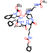 COC(=O)C1(NCCCNC(=O)OC(C)(C)C)CCN(C(=O)[C@@H](CCCCNC(=O)OCc2ccccc2)NC(=O)[C@@H](CC(C)C)NC(=O)[C@@H](Cc2ccccc2)NC(=O)[C@@H](Cc2ccccc2)NC(=O)OC(C)(C)C)CC1